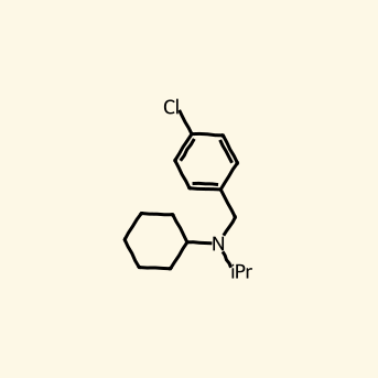 CC(C)N(Cc1ccc(Cl)cc1)C1CCCCC1